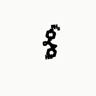 O=C(C1CC12CCNCC2)N1CCN(P)CC1